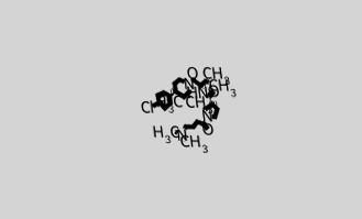 CC(C)[C@@H](NC(=O)[C@@H]1CCN(C(=O)CCCN(C)C)C1)C(=O)N1CC[C@H](c2ccc(Cl)cc2)C(C)(C)C1